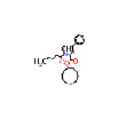 C=CCCC(=O)N(C)[C@@H](CCc1ccccc1)C(=O)OC1CCCCCCCCC1